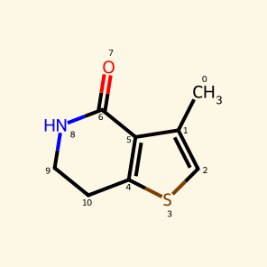 Cc1csc2c1C(=O)NCC2